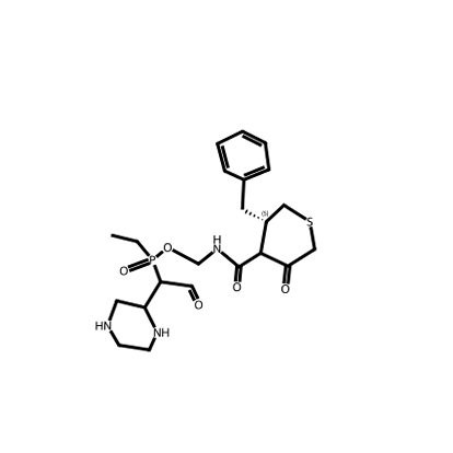 CCP(=O)(OCNC(=O)C1C(=O)CSC[C@H]1Cc1ccccc1)C(C=O)C1CNCCN1